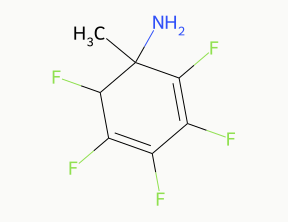 CC1(N)C(F)=C(F)C(F)=C(F)C1F